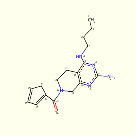 CCCCNc1nc(N)nc2c1CCN(C(=O)C1=CC=CC1)C2